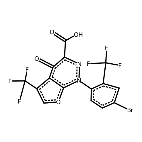 O=C(O)c1nn(-c2ccc(Br)cc2C(F)(F)F)c2occ(C(F)(F)F)c2c1=O